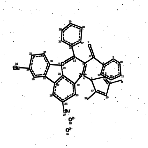 CC1=C[CH]([Zr+4](=[C](C(=O)c2ccccc2)C(=O)c2ccccc2)[c]2cc(C(C)(C)C)cc3c2Cc2ccc(C(C)(C)C)cc2-3)C(C)=C1.[O-2].[O-2]